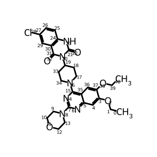 CCOc1cc2nc(N3CCOCC3)nc(N3CCC(n4c(=O)[nH]c5ccc(Cl)cc5c4=O)CC3)c2cc1OCC